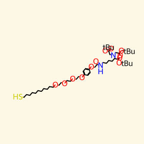 CC(C)(C)OC(=O)CN(CC(=O)OC(C)(C)C)C(CCCCNC(=O)COc1ccc(OCCOCCOCCOCCCCCCCCCCCS)cc1)C(=O)OC(C)(C)C